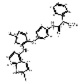 COC(C(=O)Nc1ccc(Sc2ccc(C)cc2Nc2ccnc3nc(C)ccc23)cc1)c1ccccc1